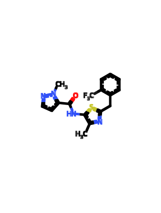 Cc1nc(Cc2ccccc2C(F)(F)F)sc1NC(=O)c1ccnn1C